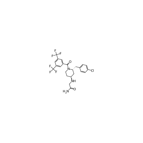 NC(=O)CN[C@H]1CCN(C(=O)c2cc(C(F)(F)F)cc(C(F)(F)F)c2)[C@H](Cc2ccc(Cl)cc2)C1